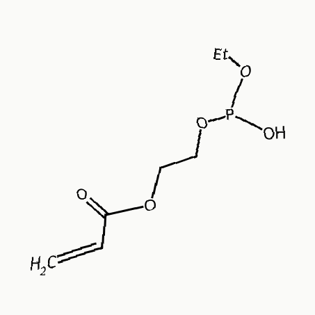 C=CC(=O)OCCOP(O)OCC